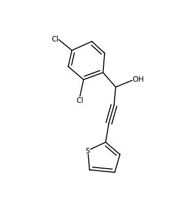 OC(C#Cc1cccs1)c1ccc(Cl)cc1Cl